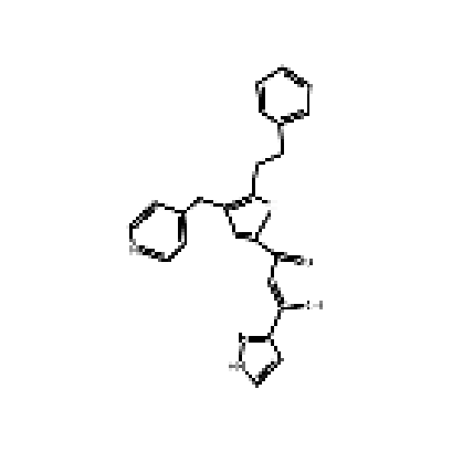 O=C(C=C(O)c1nc[nH]n1)c1cc(Cc2ccncc2)c(CCc2ccccc2)o1